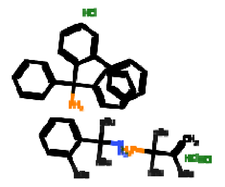 C=C(CCCC)C(P)(CCCC)CCCC.CCCCc1ccccc1C(N)(CCCC)CCCC.Cl.Cl.Cl.PC(c1ccccc1)(c1ccccc1)c1ccccc1-c1ccccc1